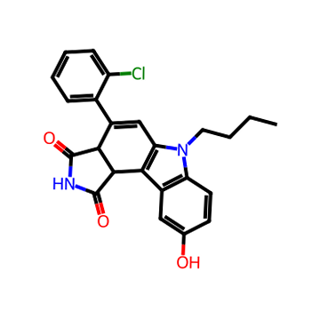 CCCCn1c2c(c3cc(O)ccc31)C1C(=O)NC(=O)C1C(c1ccccc1Cl)=C2